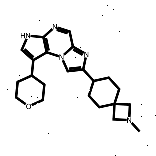 CN1CC2(CCC(c3cn4c(cnc5[nH]cc(C6CCOCC6)c54)n3)CC2)C1